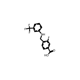 O=C(O)c1ccc(CNc2cccc(C(F)(F)F)c2)c(F)c1